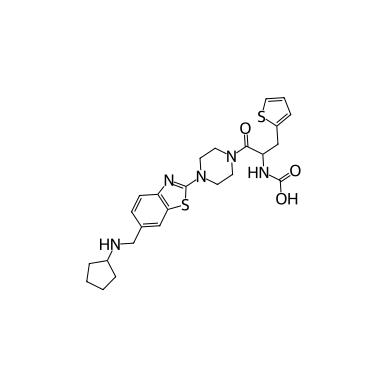 O=C(O)NC(Cc1cccs1)C(=O)N1CCN(c2nc3ccc(CNC4CCCC4)cc3s2)CC1